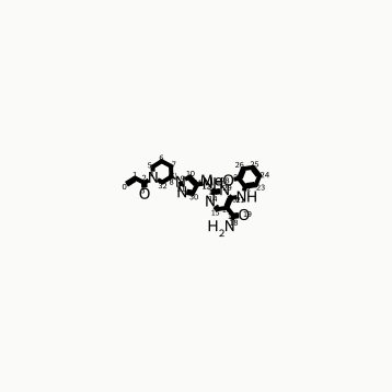 C=CC(=O)N1CCC[C@H](n2cc(Nc3ncc(C(N)=O)c(Nc4ccccc4OC)n3)cn2)C1